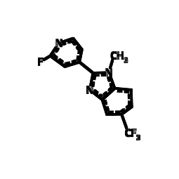 Cn1c(-c2ccnc(F)c2)nc2cc(C(F)(F)F)ccc21